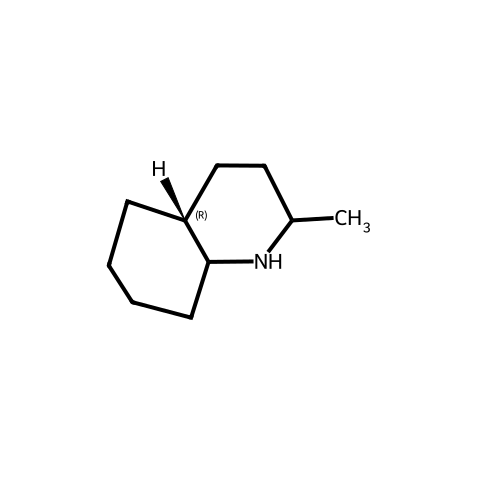 CC1CC[C@H]2CCCCC2N1